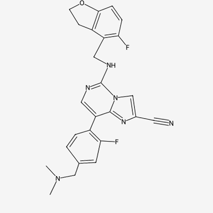 CN(C)Cc1ccc(-c2cnc(NCc3c(F)ccc4c3CCO4)n3cc(C#N)nc23)c(F)c1